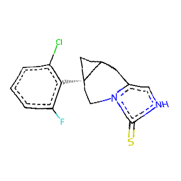 Fc1cccc(Cl)c1[C@]12CC1c1c[nH]c(=S)n1C2